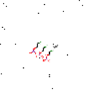 [Fe+3].[Fe+3].[O-]P([O-])OCCCl.[O-]P([O-])OCCCl.[O-]P([O-])OCCCl